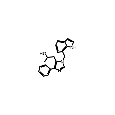 CC(O)Cc1c(-c2ccccc2)ncn1Cc1cccc2cc[nH]c12